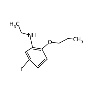 CCCOc1ccc(I)cc1NCC